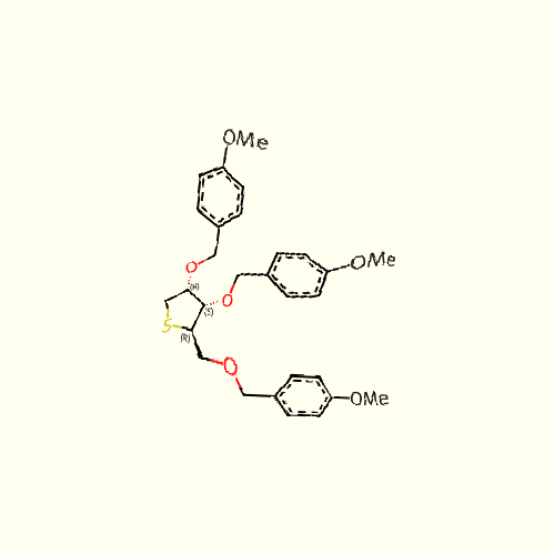 COc1ccc(COC[C@H]2SC[C@H](OCc3ccc(OC)cc3)[C@@H]2OCc2ccc(OC)cc2)cc1